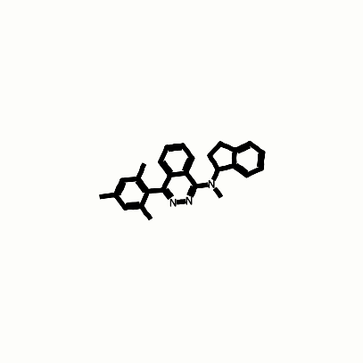 Cc1cc(C)c(-c2nnc(N(C)C3CCc4ccccc43)c3ccccc23)c(C)c1